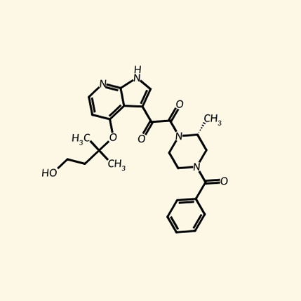 C[C@@H]1CN(C(=O)c2ccccc2)CCN1C(=O)C(=O)c1c[nH]c2nccc(OC(C)(C)CCO)c12